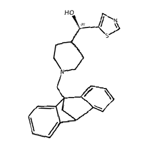 O[C@@H](c1cncs1)C1CCN(CC23CC(c4ccccc42)c2ccccc23)CC1